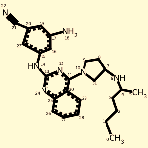 CCCCC(C)NC1CCN(c2nc(Nc3cc(N)cc(C#N)c3)nc3ccccc23)C1